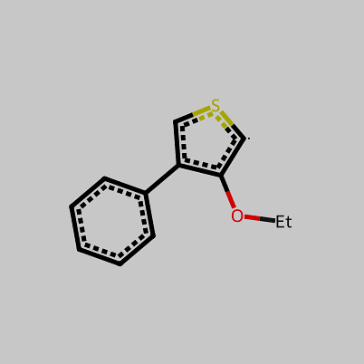 CCOc1[c]scc1-c1ccccc1